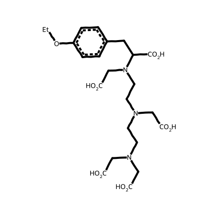 CCOc1ccc(CC(C(=O)O)N(CCN(CCN(CC(=O)O)CC(=O)O)CC(=O)O)CC(=O)O)cc1